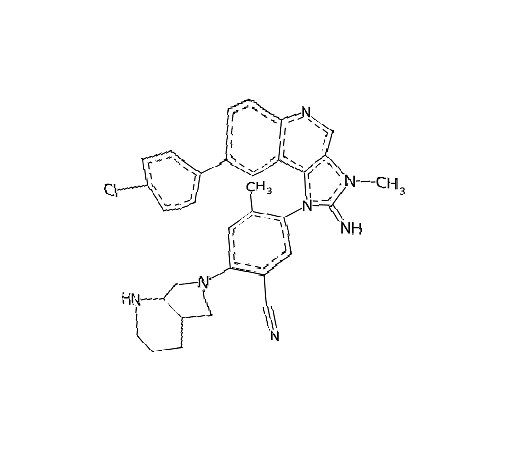 Cc1cc(N2CC3CCCNC3C2)c(C#N)cc1-n1c(=N)n(C)c2cnc3ccc(-c4ccc(Cl)cc4)cc3c21